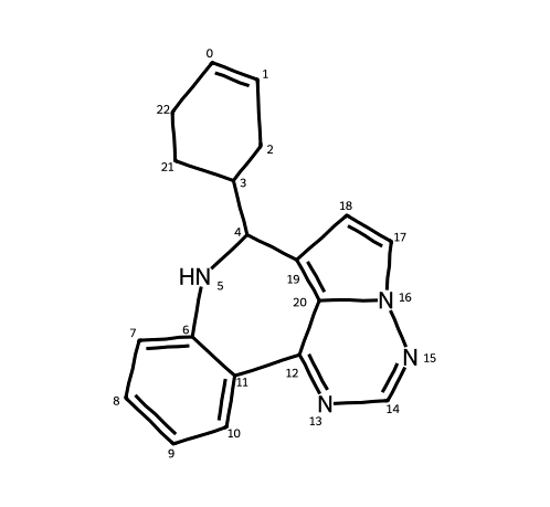 C1=CCC(C2Nc3ccccc3-c3ncnn4ccc2c34)CC1